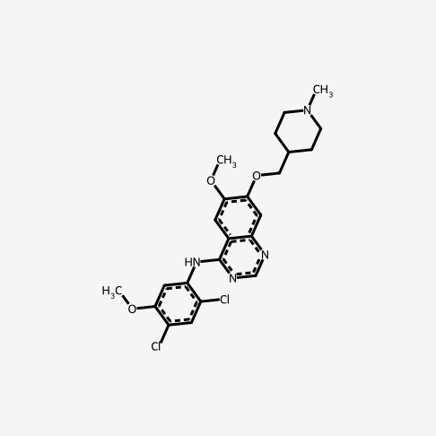 COc1cc(Nc2ncnc3cc(OCC4CCN(C)CC4)c(OC)cc23)c(Cl)cc1Cl